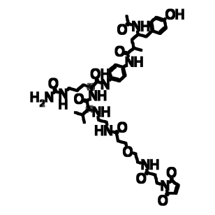 CC(=O)NC(Cc1ccc(O)cc1)CC(C)C(=O)Nc1ccc(NC(=O)[C@H](CCCNC(N)=O)NC(=O)[C@@H](NCCNC(=O)CCOCCNC(=O)CCN2C(=O)C=CC2=O)C(C)C)cc1